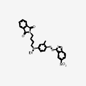 CCN(CCCCN1C(=O)c2ccccc2C1=O)c1ccc(/N=N/c2snc3ccc([N+](=O)[O-])cc23)c(C)c1